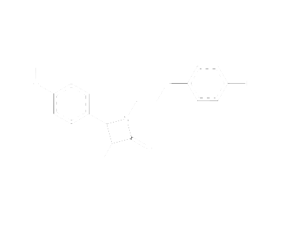 COc1ccc(C2C(O)C(=O)N2CCOc2ccc(F)cc2)cc1